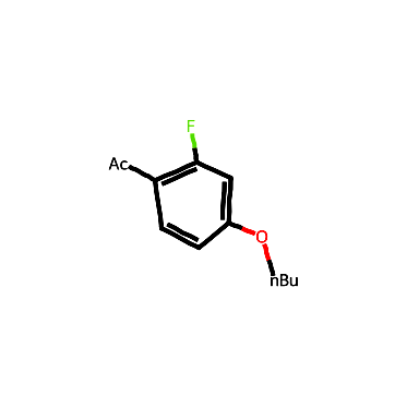 CCCCOc1ccc(C(C)=O)c(F)c1